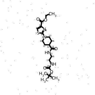 CCOC(=O)c1csc(N2CCC(C(=O)NCCNC(=O)OC(C)(C)C)CC2)n1